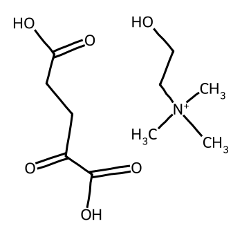 C[N+](C)(C)CCO.O=C(O)CCC(=O)C(=O)O